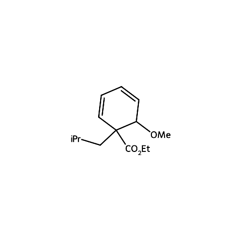 CCOC(=O)C1(CC(C)C)C=CC=CC1OC